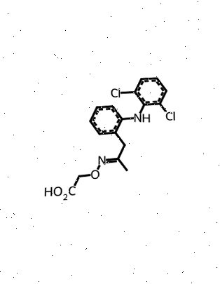 CC(Cc1ccccc1Nc1c(Cl)cccc1Cl)=NOCC(=O)O